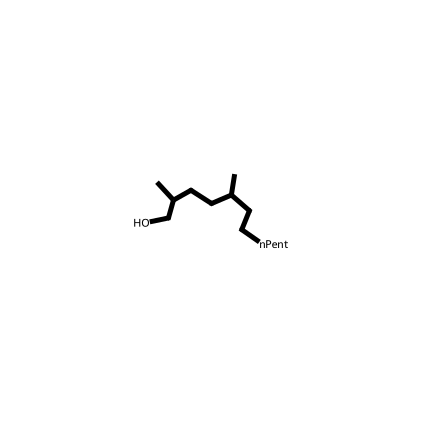 CCCCCCCC(C)CCC(C)CO